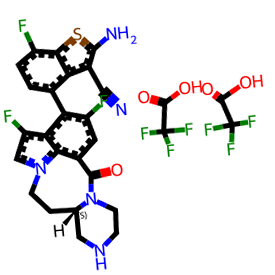 N#Cc1c(N)sc2c(F)ccc(-c3c(F)cc4c5c3c(F)cn5CC[C@H]3CNCCN3C4=O)c12.O=C(O)C(F)(F)F.O=C(O)C(F)(F)F